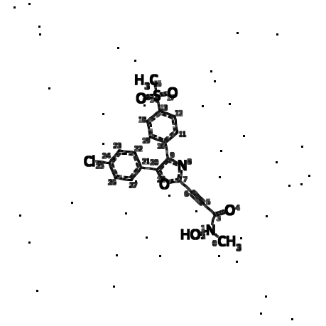 CN(O)C(=O)C#Cc1nc(-c2ccc(S(C)(=O)=O)cc2)c(-c2ccc(Cl)cc2)o1